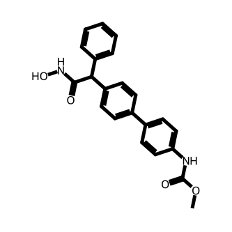 COC(=O)Nc1ccc(-c2ccc(C(C(=O)NO)c3ccccc3)cc2)cc1